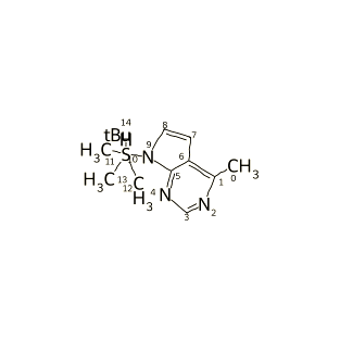 Cc1ncnc2c1ccn2[SH](C)(C)(C)C(C)(C)C